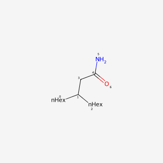 CCCCCCC(CCCCCC)CC(N)=O